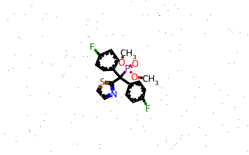 COP(=O)(OC)C(c1ccc(F)cc1)(c1ccc(F)cc1)c1nccs1